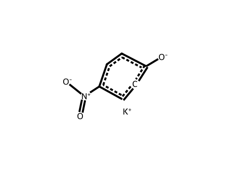 O=[N+]([O-])c1ccc([O-])cc1.[K+]